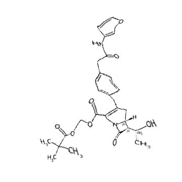 C[C@@H](O)[C@H]1C(=O)N2C(C(=O)OCOC(=O)C(C)(C)C)=C(c3ccc(CC(=O)Nc4ccoc4)cc3)C[C@H]12